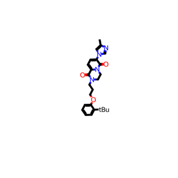 Cc1cn(-c2ccc3n(c2=O)CCN(CCCOc2ccccc2C(C)(C)C)C3=O)cn1